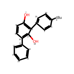 CC(C)(C)c1ccc(-c2c(O)ccc(-c3ccccc3)c2O)cc1